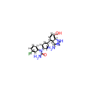 NC(=O)N(c1ccc(-c2ccc(O)c3[nH]nc(N)c23)cc1)c1cccc(F)c1